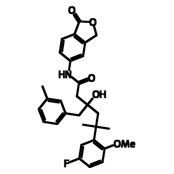 COc1ccc(F)cc1C(C)(C)CC(O)(CC(=O)Nc1ccc2c(c1)COC2=O)Cc1cccc(C)c1